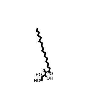 CCCCCCCC/C=C/CCCCCCCC(=O)[PH](=O)C(O)C(O)CO